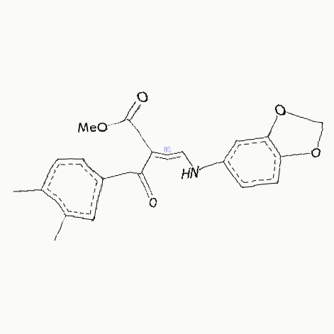 COC(=O)/C(=C/Nc1ccc2c(c1)OCO2)C(=O)c1ccc(C)c(C)c1